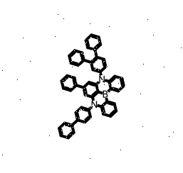 c1ccc(-c2ccc(N3c4ccccc4B4c5ccccc5N(c5ccc(-c6ccccc6)c(-c6ccccc6)c5)c5cc(-c6ccccc6)cc3c54)cc2)cc1